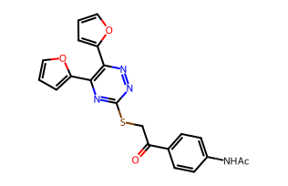 CC(=O)Nc1ccc(C(=O)CSc2nnc(-c3ccco3)c(-c3ccco3)n2)cc1